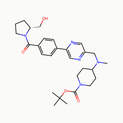 CN(Cc1cnc(-c2ccc(C(=O)N3CCC[C@@H]3CO)cc2)cn1)C1CCN(C(=O)OC(C)(C)C)CC1